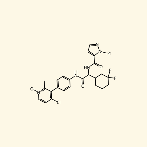 Cc1c(-c2ccc(NC(=O)C(NC(=O)c3ccnn3C(C)C)C3CCCC(F)(F)C3)cc2)c(Cl)cc[n+]1[O-]